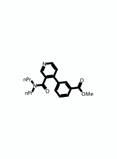 CCCN(CCC)C(=O)c1cnccc1-c1cccc(C(=O)OC)c1